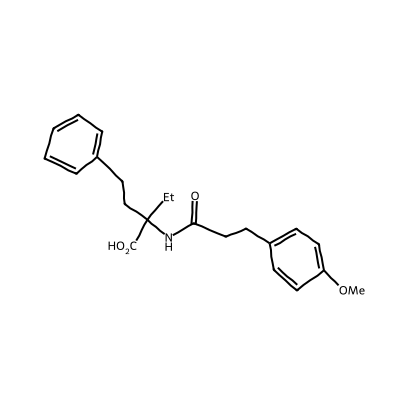 CCC(CCc1ccccc1)(NC(=O)CCc1ccc(OC)cc1)C(=O)O